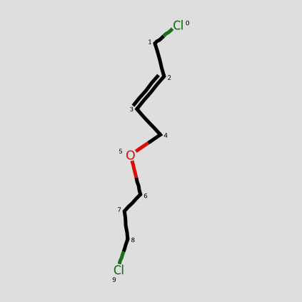 ClCC=CCOCCCCl